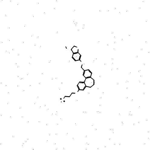 CS(=O)(=O)CCCOc1ccc2c(c1)CCCc1ccc(COc3ccc4c(c3)OC[C@H]4CC(=O)O)cc1-2